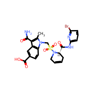 Cc1c(C(N)=O)c2cc(C(=O)O)ccc2n1CS(=O)(=O)N1CC=CC[C@H]1C(=O)Nc1cccc(Br)n1